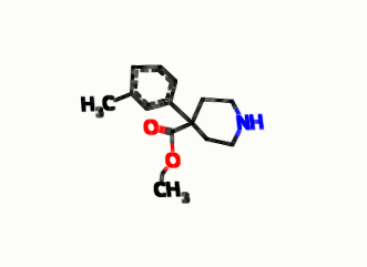 CCOC(=O)C1(c2cccc(C)c2)CCNCC1